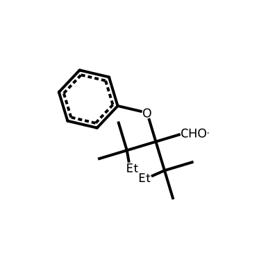 CCC(C)(C)C([C]=O)(Oc1ccccc1)C(C)(C)CC